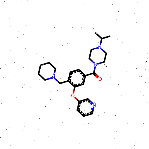 CC(C)N1CCN(C(=O)c2ccc(CN3CCCCC3)c(Oc3cccnc3)c2)CC1